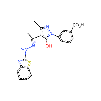 C/C(=N\Nc1nc2ccccc2s1)c1c(C)nn(-c2cccc(C(=O)O)c2)c1O